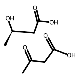 CC(=O)CC(=O)O.C[C@@H](O)CC(=O)O